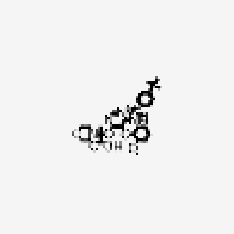 COc1ccccc1Oc1c(NS(=O)(=O)c2ccc(C(C)(C)C)cc2)ncnc1OC(C)(C(=O)O)N1CCOCC1